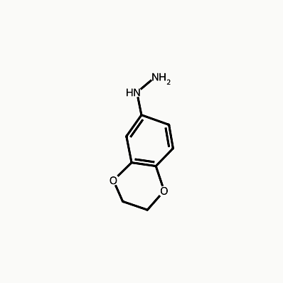 NNc1ccc2c(c1)OCCO2